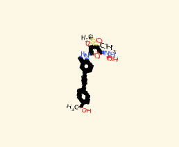 C[C@@H](O)c1ccc(C#Cc2ccc3c(cnn3CC[C@](C)(C(=O)NO)S(C)(=O)=O)c2)cc1